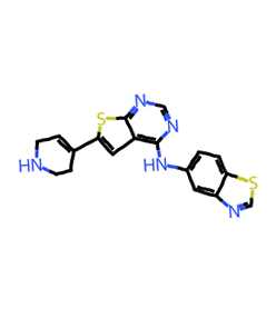 C1=C(c2cc3c(Nc4ccc5scnc5c4)ncnc3s2)CCNC1